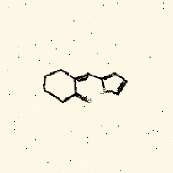 O=C1CCCC/C1=C/c1cccs1